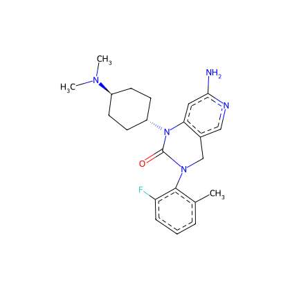 Cc1cccc(F)c1N1Cc2cnc(N)cc2N([C@H]2CC[C@H](N(C)C)CC2)C1=O